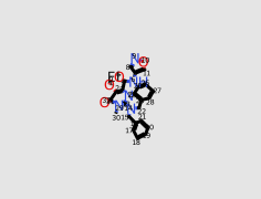 CCOc1c(C(=O)Nc2cnoc2)nc(N(Cc2ccccc2)Cc2ccccc2)n(C)c1=O